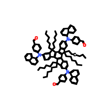 CCCCCCC1(CCCCCC)c2cc(N(c3ccc(C=O)cc3)c3cccc4ccccc34)ccc2-c2c1c1c(c3c2C(CCCCCC)(CCCCCC)c2cc(N(c4ccc(C=O)cc4)c4cccc5ccccc45)ccc2-3)C(CCCCCC)(CCCCCC)c2cc(N(c3ccc(C=O)cc3)c3cccc4ccccc34)ccc2-1